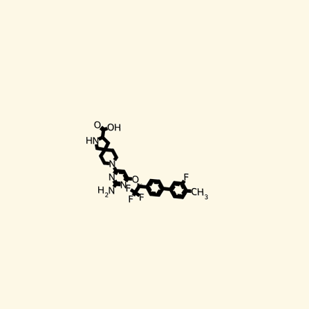 Cc1ccc(-c2ccc([C@@H](Oc3cc(N4CCC5(CC4)CNC(C(=O)O)C5)nc(N)n3)C(F)(F)F)cc2)cc1F